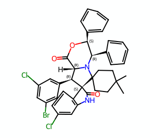 CC1(C)CCC2(CC1)N1[C@H](c3ccccc3)[C@H](c3ccccc3)OC(=O)[C@H]1[C@H](c1cc(Cl)cc(Br)c1)[C@@]21C(=O)Nc2cc(Cl)ccc21